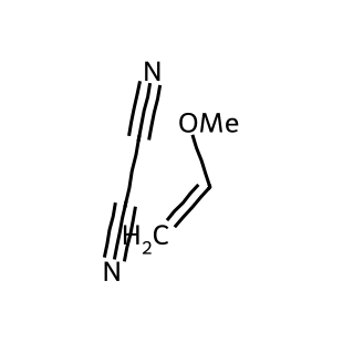 C=COC.N#CC#N